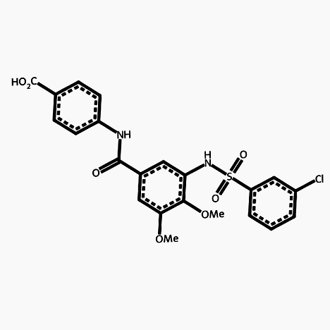 COc1cc(C(=O)Nc2ccc(C(=O)O)cc2)cc(NS(=O)(=O)c2cccc(Cl)c2)c1OC